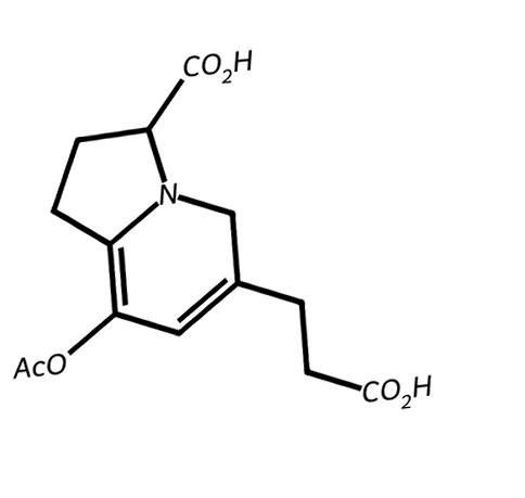 CC(=O)OC1=C2CCC(C(=O)O)N2CC(CCC(=O)O)=C1